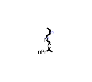 C/C=C\C=N/C=C=C(C)CCC